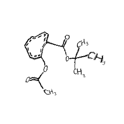 CC(=O)Oc1ccccc1C(=O)OC(C)(C)C